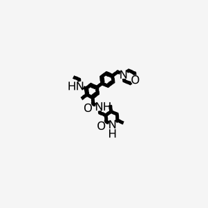 CCNc1cc(-c2ccc(CN3CCOCC3)cc2)cc(C(=O)NCC2C(=O)NC(C)CC2C)c1C